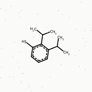 CC(C)c1cccc(S)c1C(C)C